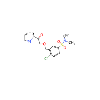 CCCN(C)S(=O)(=O)c1ccc(Cl)c(COCC(=O)c2ccccn2)c1